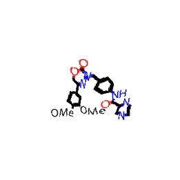 COc1ccc(C2=NN(Cc3ccc(NC(=O)c4cnccn4)cc3)C(=O)OC2)cc1OC